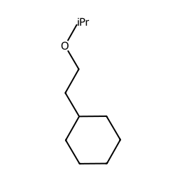 CC(C)OCCC1CCCCC1